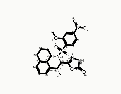 COc1cc([N+](=O)[O-])ccc1S(=O)(=O)N[C@H](c1n[nH]c(=O)o1)[C@H](C)c1cccc2c1CCCC2